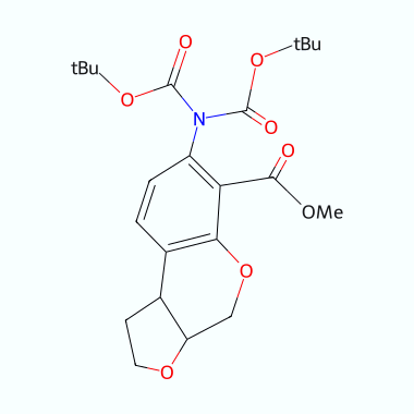 COC(=O)c1c(N(C(=O)OC(C)(C)C)C(=O)OC(C)(C)C)ccc2c1OCC1OCCC21